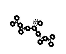 c1ccc(N(c2ccccc2)c2ccc3c(c2)c2ccccc2n3-c2ccc(-c3cc(-c4ccc(-n5c6ccccc6c6cc(N(c7ccccc7)c7ccccc7)ccc65)cc4)cc(-n4nnc5ccccc54)c3)cc2)cc1